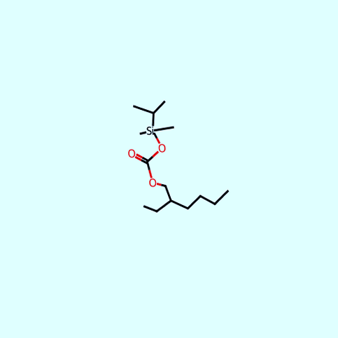 CCCCC(CC)COC(=O)O[Si](C)(C)C(C)C